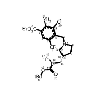 CCOC(=O)c1cc(C(F)(F)F)c(CN2CC[C@H](CN(C)C(=O)OC(C)(C)C)C2)c(Cl)c1N